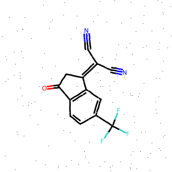 N#CC(C#N)=C1CC(=O)c2ccc(C(F)(F)F)cc21